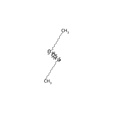 CCCCCCCCCCCCCCc1ccsc1-c1nc2sc(-c3sccc3CCCCCCCCCCCCCC)nc2s1